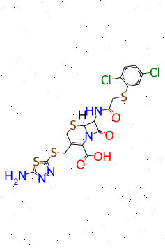 Nc1nnc(SCC2=C(C(=O)O)N3C(=O)C(NC(=O)CSc4cc(Cl)ccc4Cl)[C@@H]3SC2)s1